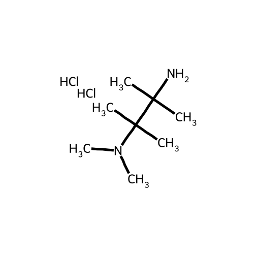 CN(C)C(C)(C)C(C)(C)N.Cl.Cl